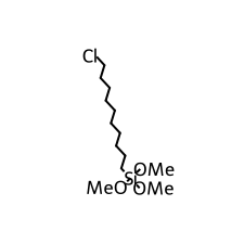 CO[Si](CCCCCCCCCCCl)(OC)OC